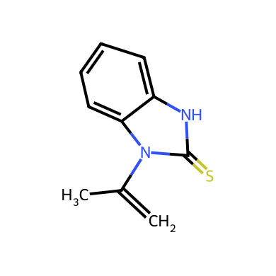 C=C(C)n1c(=S)[nH]c2ccccc21